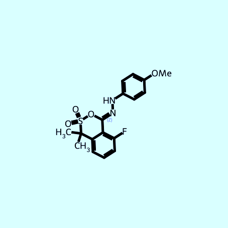 COc1ccc(N/N=C2\OS(=O)(=O)C(C)(C)c3cccc(F)c32)cc1